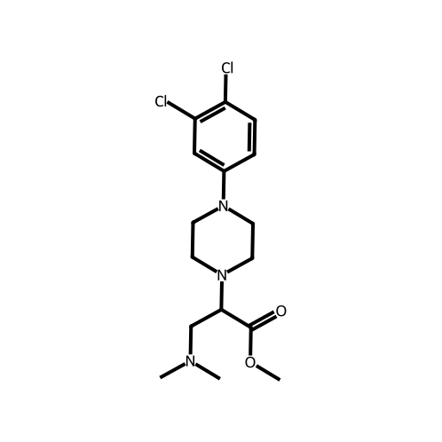 COC(=O)C(CN(C)C)N1CCN(c2ccc(Cl)c(Cl)c2)CC1